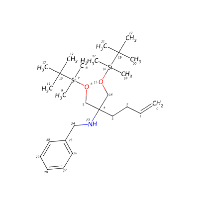 C=CCCC(CO[Si](C)(C)C(C)(C)C)(CO[Si](C)(C)C(C)(C)C)NCc1ccccc1